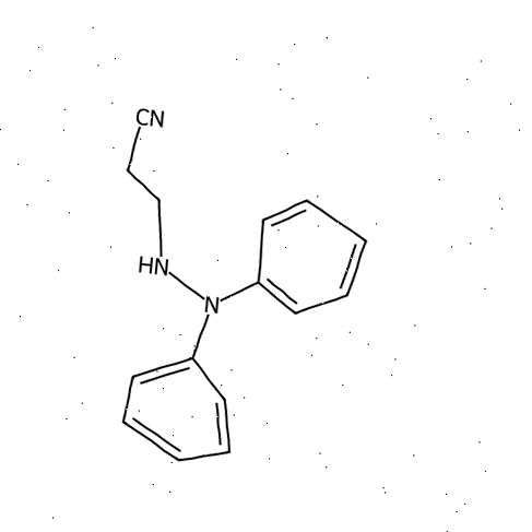 N#CCCNN(c1ccccc1)c1ccccc1